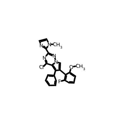 COc1cccc(F)c1-c1cn2nc(-c3nccn3C)nc(Cl)c2c1-c1ccccc1